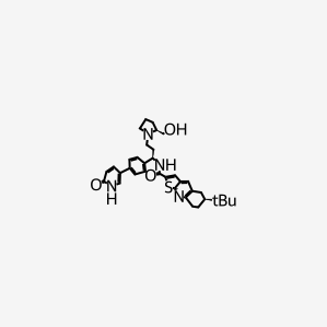 CC(C)(C)[C@H]1CCc2nc3sc(C(=O)N[C@H](CCN4CCC[C@H]4CO)c4ccc(-c5ccc(=O)[nH]c5)cc4)cc3cc2C1